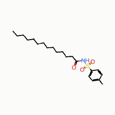 CCCCCCCCCCCCCC(=O)NS(=O)(=O)c1ccc(C)cc1